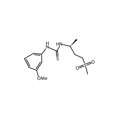 COc1cccc(NC(=S)N[C@@H](C)CCS(C)(=O)=O)c1